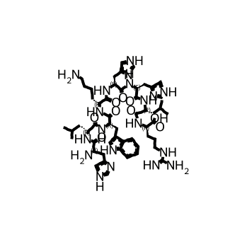 CC(C)C[C@@H](NC(=O)[C@H](N)Cc1c[nH]cn1)C(=O)N[C@H](Cc1c[nH]c2ccccc12)C(=O)N[C@H](CCCCN)C(=O)N[C@@H](Cc1c[nH]cn1)C(=O)N[C@@H](Cc1c[nH]cn1)C(=O)N[C@H](CC(C)C)C(=O)N[C@H](CCCNC(=N)N)C(=O)O